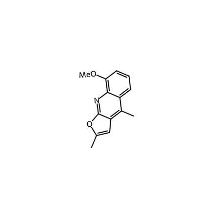 COc1cccc2c(C)c3cc(C)oc3nc12